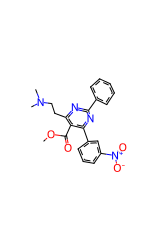 COC(=O)c1c(CCN(C)C)nc(-c2ccccc2)nc1-c1cccc([N+](=O)[O-])c1